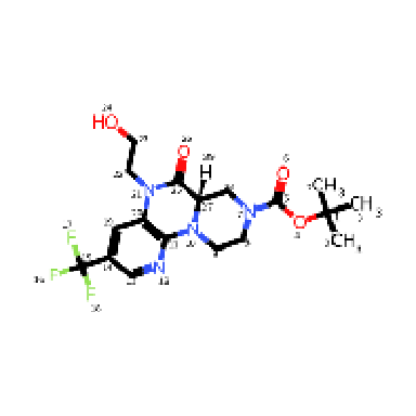 CC(C)(C)OC(=O)N1CCN2c3ncc(C(F)(F)F)cc3N(CCO)C(=O)[C@@H]2C1